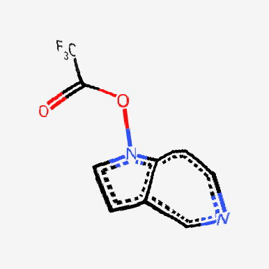 O=C(On1ccc2cnccc21)C(F)(F)F